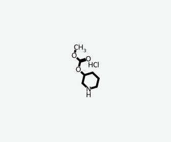 COC(=O)OC1CCCNC1.Cl